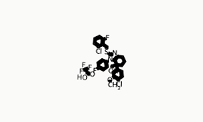 COc1cc(C2(CO)CCCc3nc(SCc4c(F)cccc4Cl)n(-c4ccc(F)cc4)c32)ccc1Cl.O=C(O)C(F)(F)F